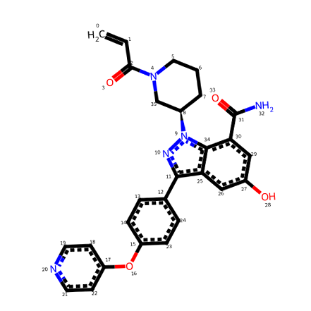 C=CC(=O)N1CCC[C@@H](n2nc(-c3ccc(Oc4ccncc4)cc3)c3cc(O)cc(C(N)=O)c32)C1